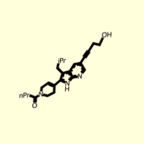 CCCC(=O)N1CC=C(c2[nH]c3ncc(C#CCCO)cc3c2CC(C)C)CC1